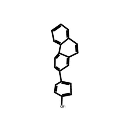 Oc1ccc(-c2ccc3c(ccc4ccccc43)c2)cc1